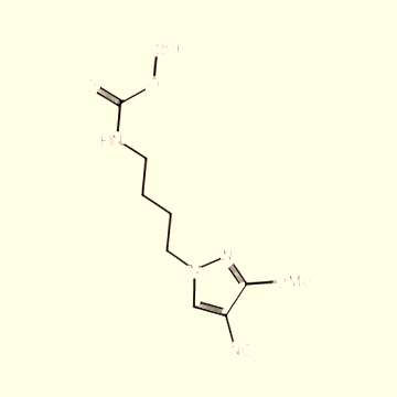 COc1nn(CCCCNC(=O)OC(C)(C)C)cc1[N+](=O)[O-]